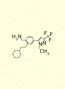 CCn1nc(C(F)(F)F)cc1-c1ccc(CN)c(CCC2CCCCC2)c1